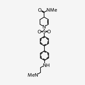 CNCCNc1ccc(-c2ccc(S(=O)(=O)N3C=CC(C(=O)NC)CC3)cc2)cc1